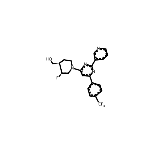 OC[C@H]1CCN(c2cc(-c3ccc(C(F)(F)F)cc3)nc(-c3cccnc3)n2)C[C@H]1F